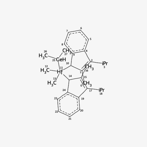 CC1=C(C(C)C)c2ccccc2[CH]1[Hf]([CH3])([CH3])([CH]1C(C)=C(C(C)C)c2ccccc21)[GeH]([CH3])[CH3]